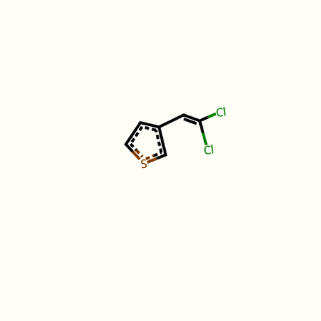 ClC(Cl)=Cc1ccsc1